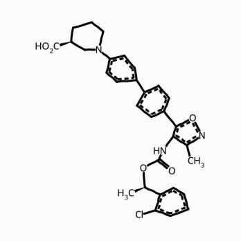 Cc1noc(-c2ccc(-c3ccc(N4CCC[C@H](C(=O)O)C4)cc3)cc2)c1NC(=O)O[C@H](C)c1ccccc1Cl